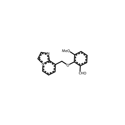 COc1cccc(C=O)c1OCc1cccn2ccnc12